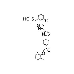 Cc1cccnc1OCC(=O)N1CCC(c2nc(C3=NOC(c4c(Cl)cccc4CS(=O)(=O)O)C3)cs2)CC1